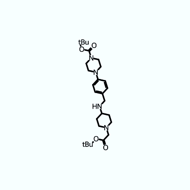 CC(C)(C)OC(=O)CN1CCC(NCc2ccc(N3CCN(C(=O)OC(C)(C)C)CC3)cc2)CC1